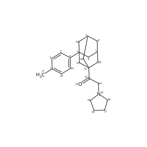 Cc1ccc(C23CC4CC(CC(C(=O)CN5CCCC5)(C4)C2)C3)cc1